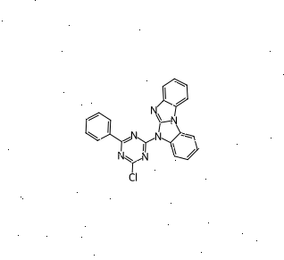 Clc1nc(-c2ccccc2)nc(-n2c3ccccc3n3c4ccccc4nc23)n1